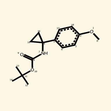 COc1ccc(C2(NC(=O)OC(C)(C)C)CC2)cc1